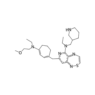 CCN(CCOC)C1=CC=C(Cc2cc3c(c(N(CC)CC4CCCNC4)n2)=NC=CSN=3)CCC1